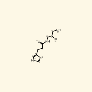 O=C(CCc1c[nH]cn1)NCC(O)CO